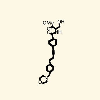 COC(=O)C(CO)NC(=O)c1ccc(C#CC=Cc2ccc(CN3CCOCC3)cc2)cc1